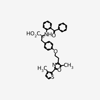 Cc1ccsc1-c1nc(CCOc2ccc(C[C@H](Nc3ccccc3C(=O)c3ccccc3)C(=O)O)cc2)c(C)o1